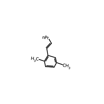 CCCC=Cc1cc(C)ccc1C